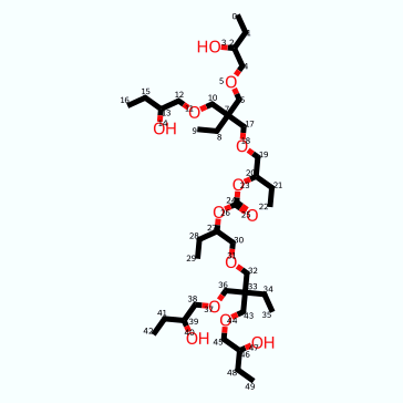 CCC(O)COCC(CC)(COCC(O)CC)COCC(CC)OC(=O)OC(CC)COCC(CC)(COCC(O)CC)COCC(O)CC